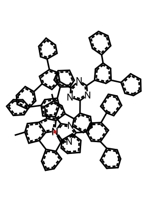 Cc1cc(-c2ccccc2-c2nc(-c3cc(-c4ccccc4)cc(-c4ccccc4)c3)nc(-c3cc(-c4ccccc4)cc(-c4ccccc4)c3)n2)c2c(c1)c1cc(C)cc(-c3ccccc3-c3nc(-c4cc(-c5ccccc5)cc(-c5ccccc5)c4)nc(-c4cc(-c5ccccc5)cc(-c5ccccc5)c4)n3)c1n2-c1ccccc1